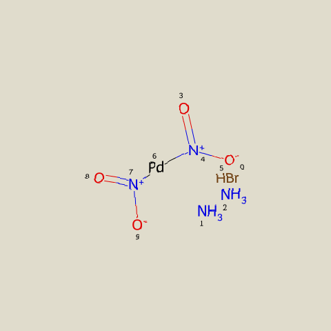 Br.N.N.O=[N+]([O-])[Pd][N+](=O)[O-]